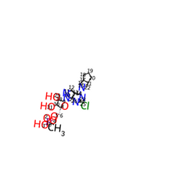 CP(=O)(O)OOC[C@H]1O[C@@H](n2ncc3c(N4CC5CCCC5C4)nc(Cl)nc32)[C@H](O)[C@@H]1O